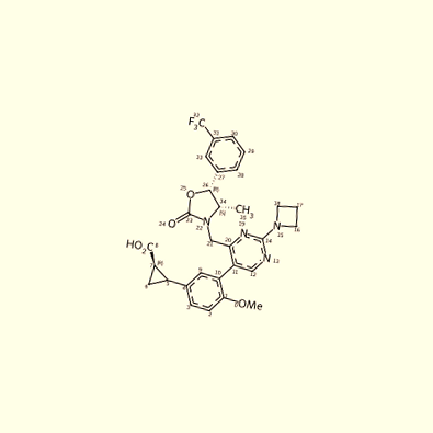 COc1ccc(C2C[C@H]2C(=O)O)cc1-c1cnc(N2CCC2)nc1CN1C(=O)O[C@H](c2cccc(C(F)(F)F)c2)[C@@H]1C